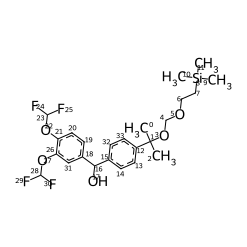 CC(C)(OCOCC[Si](C)(C)C)c1ccc(C(O)c2ccc(OC(F)F)c(OC(F)F)c2)cc1